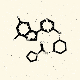 O=C(N[C@H]1CCC[C@@H](Nc2cncc(-c3c[nH]c4c(F)cc(F)cc34)n2)C1)N1CCCC1